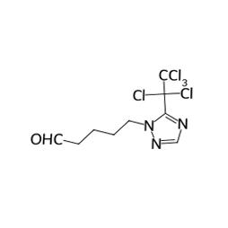 O=CCCCCn1ncnc1C(Cl)(Cl)C(Cl)(Cl)Cl